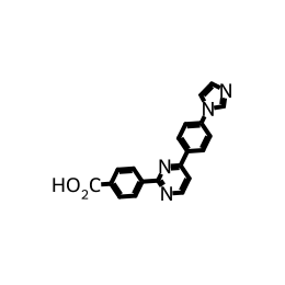 O=C(O)c1ccc(-c2nccc(-c3ccc(-n4ccnc4)cc3)n2)cc1